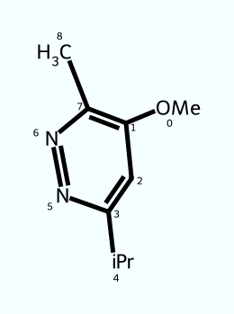 COc1cc(C(C)C)nnc1C